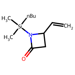 C=CC1CC(=O)N1[Si](C)(C)CCCC